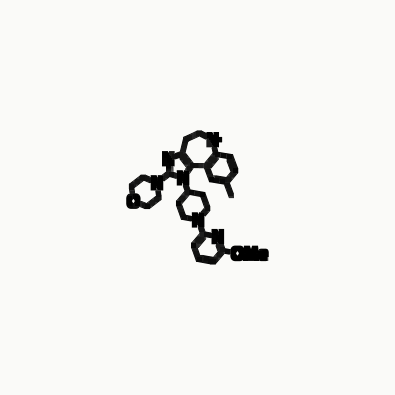 COc1cccc(N2CCC(n3c(N4CCOCC4)nc4c3-c3cc(C)ccc3[N]CC4)CC2)n1